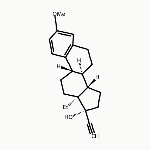 C#C[C@]1(O)CC[C@H]2[C@@H]3CCc4cc(OC)ccc4[C@H]3CC[C@@]21CC